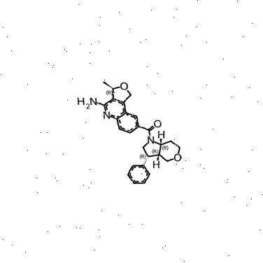 C[C@H]1OCc2c1c(N)nc1ccc(C(=O)N3C[C@@H](c4ccccc4)[C@H]4COCC[C@H]43)cc21